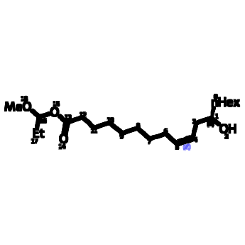 CCCCCC[C@@H](O)C/C=C\CCCCCCCC(=O)OC(CC)OC